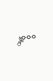 c1ccc(-c2ccc(-c3ccc4ncc(N5CCCCC5)nc4c3)cc2)cc1